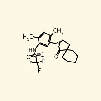 Cc1cc(C)c(N2CCC3(CCCCC3)C2=O)cc1NS(=O)(=O)C(F)(F)F